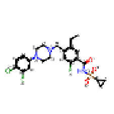 CCc1cc(C(=O)NS(=O)(=O)C2CC2)c(F)cc1CN1CCN(c2ccc(Cl)c(Cl)c2)CC1